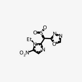 CCn1c([N+](=O)[O-])cnc1C(c1nnco1)=S(=O)=O